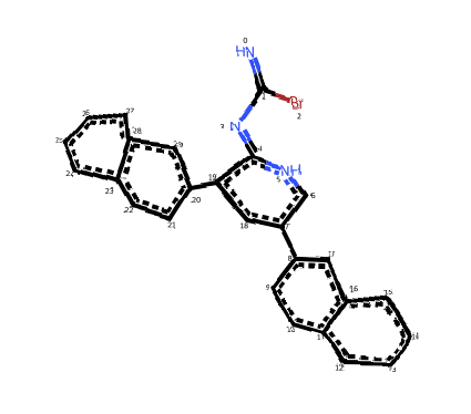 N=C(Br)/N=c1\[nH]cc(-c2ccc3ccccc3c2)cc1-c1ccc2ccccc2c1